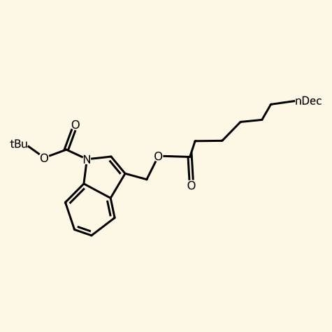 CCCCCCCCCCCCCCCC(=O)OCc1cn(C(=O)OC(C)(C)C)c2ccccc12